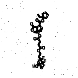 CCC1(OC(=O)C2C3CC4C(OC(=O)C42)C3OC(=O)CCC(=O)OCCC(F)(F)C(F)(F)S(=O)(=O)O)CCCC1